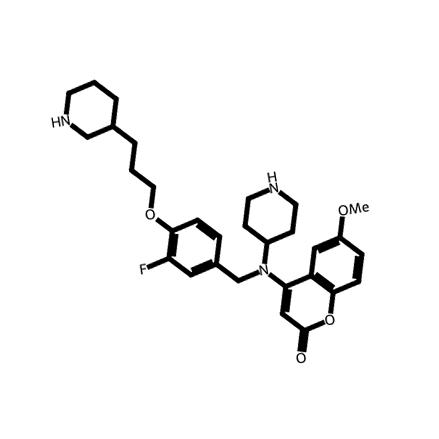 COc1ccc2oc(=O)cc(N(Cc3ccc(OCCCC4CCCNC4)c(F)c3)C3CCNCC3)c2c1